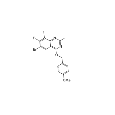 COc1ccc(COc2nc(C)nc3c(I)c(F)c(Br)cc23)cc1